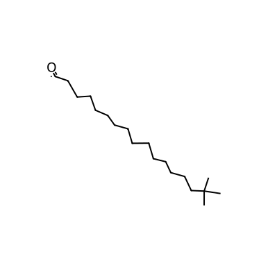 CC(C)(C)CCCCCCCCCCCCCC[C]=O